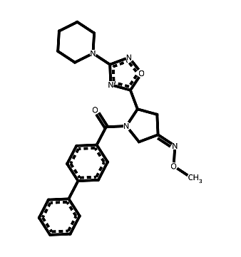 CON=C1CC(c2nc(N3CCCCC3)no2)N(C(=O)c2ccc(-c3ccccc3)cc2)C1